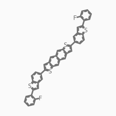 Fc1ccccc1-c1cc2cc(-c3cc4cc5cc6sc(-c7ccc8sc(-c9ccccc9F)cc8c7)cc6cc5cc4s3)ccc2s1